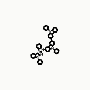 c1ccc(-n2c3ccccc3c3cc(-c4ccc5c(c4)c4cc(-n6c7ccccc7n7c8c9ccccc9n(-c9ccccc9)c8nc67)ccc4n5-c4ccccc4)ccc32)cc1